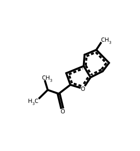 Cc1ccc2oc(C(=O)C(C)C)cc2c1